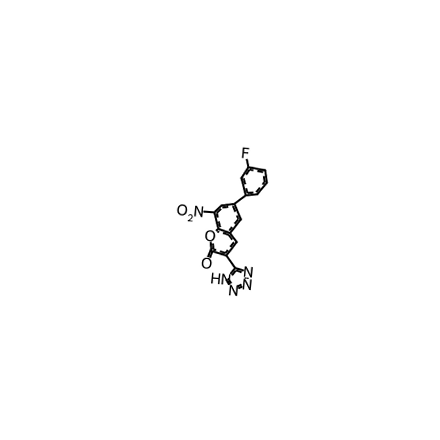 O=c1oc2c([N+](=O)[O-])cc(-c3cccc(F)c3)cc2cc1-c1nnn[nH]1